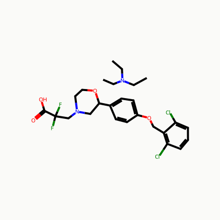 CCN(CC)CC.O=C(O)C(F)(F)CN1CCOC(c2ccc(OCc3c(Cl)cccc3Cl)cc2)C1